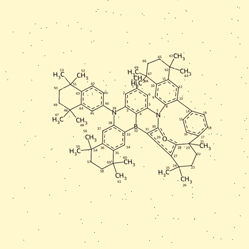 Cc1cc2c3c(c1)N1c4cc5c(cc4-c4ccc(cc4)C4(C)CCC(C)(C)c6c4oc1c6B3c1cc3c(cc1N2c1ccc2c(c1)C(C)(C)CCC2(C)C)C(C)(C)CCC3(C)C)C(C)(C)CCC5(C)C